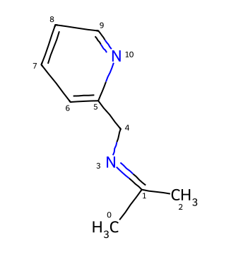 CC(C)=NCc1ccccn1